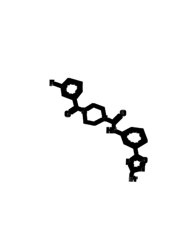 CC(C)c1noc(-c2cccc(NC(=O)N3CCN(C(=O)c4cccc(F)c4)CC3)c2)n1